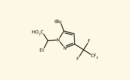 CCC(C(=O)O)n1nc(C(F)(F)C(F)(F)F)cc1C(C)(C)C